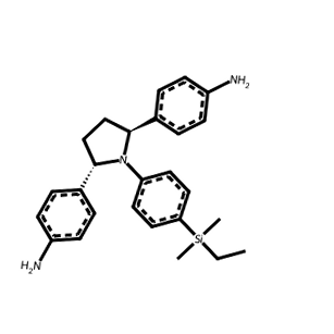 CC[Si](C)(C)c1ccc(N2[C@H](c3ccc(N)cc3)CC[C@H]2c2ccc(N)cc2)cc1